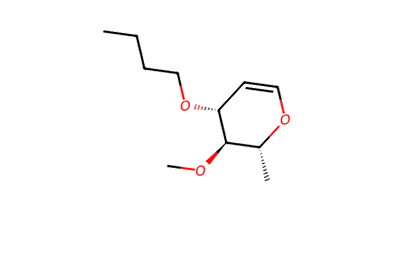 CCCCO[C@@H]1C=CO[C@H](C)[C@H]1OC